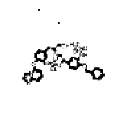 CC[Si](CC)(CC)O[C@@H](CN[C@H](CO)Cc1ccc(Oc2cccc3nccn23)cc1)c1ccc(OCc2ccccc2)c(NS(C)(=O)=O)c1